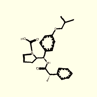 CC(C)COc1ccc([C@@H](NC(=O)[C@@H](C)c2ccccc2)C2CCCN2C(=O)O)cc1